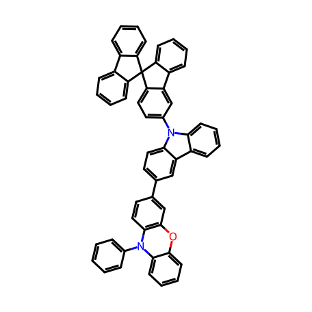 c1ccc(N2c3ccccc3Oc3cc(-c4ccc5c(c4)c4ccccc4n5-c4ccc5c(c4)-c4ccccc4C54c5ccccc5-c5ccccc54)ccc32)cc1